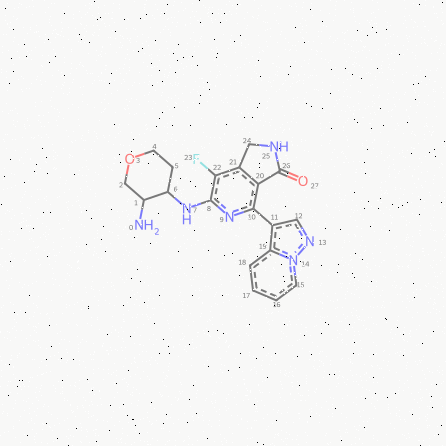 NC1COCCC1Nc1nc(-c2cnn3ccccc23)c2c(c1F)CNC2=O